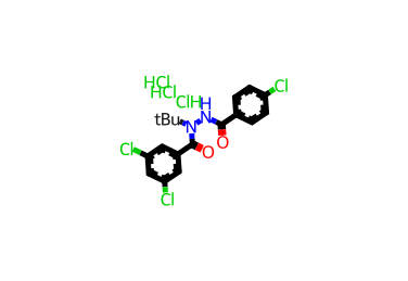 CC(C)(C)N(NC(=O)c1ccc(Cl)cc1)C(=O)c1cc(Cl)cc(Cl)c1.Cl.Cl.Cl